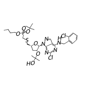 CCCCOP(=O)(CSC[C@@H]1C[C@@H](OC(C)(C)O)[C@H](n2ncc3c(NCc4ccccc4Cl)nc(Cl)nc32)O1)OC(C)(C)C